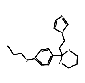 CCCOc1ccc(C2(CCn3ccnc3)OCCCO2)cc1